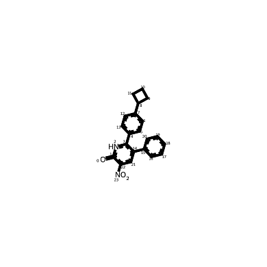 O=c1[nH]c(-c2ccc([C]3CCC3)cc2)c(-c2ccccc2)cc1[N+](=O)[O-]